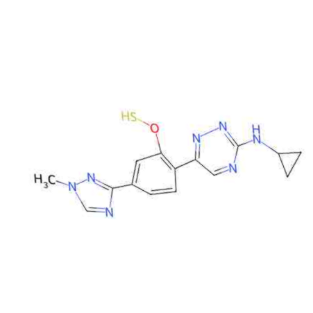 Cn1cnc(-c2ccc(-c3cnc(NC4CC4)nn3)c(OS)c2)n1